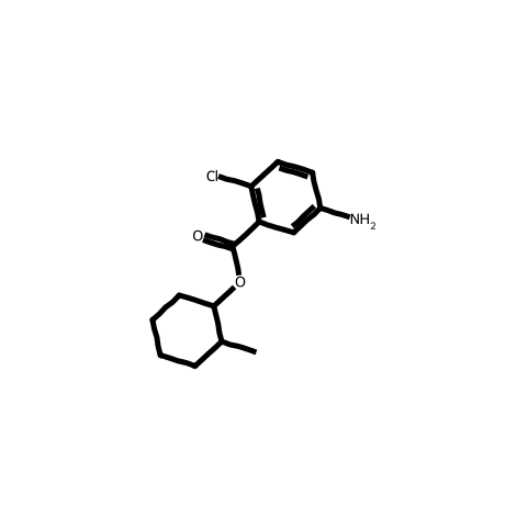 CC1CCCCC1OC(=O)c1cc(N)ccc1Cl